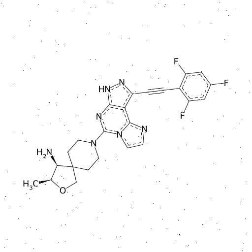 C[C@@H]1OCC2(CCN(c3nc4[nH]nc(C#Cc5c(F)cc(F)cc5F)c4c4nccn34)CC2)[C@@H]1N